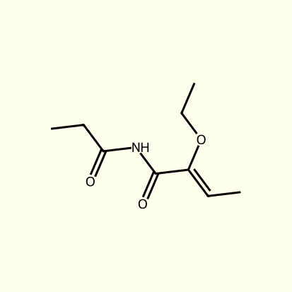 CC=C(OCC)C(=O)NC(=O)CC